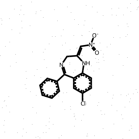 O=[N+]([O-])C=C1CN=C(c2ccccc2)c2cc(Cl)ccc2N1